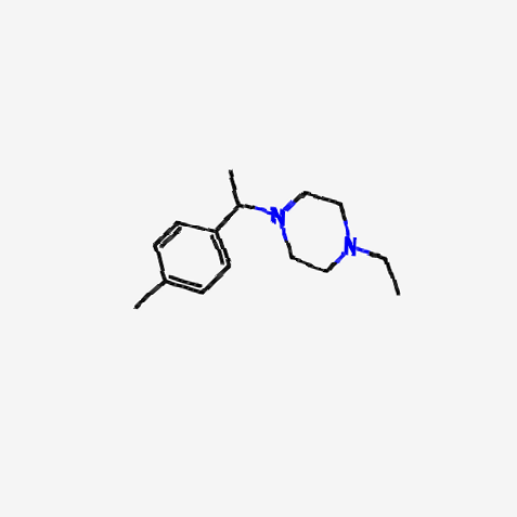 CCN1CCN(C(C)c2ccc(C)cc2)CC1